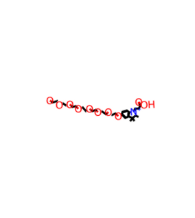 COCCOCCOCCOCCOCCOCCOCCOc1ccc2c(c1)C(C)(C)C(C)=[N+]2CCC(=O)O